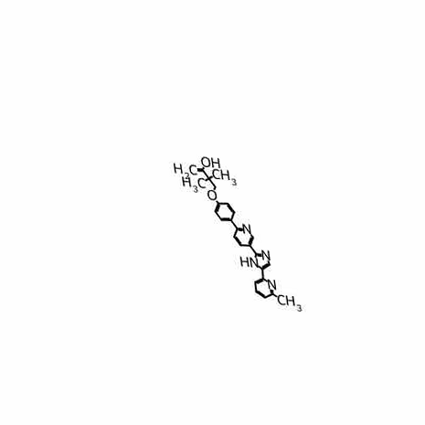 C=C(O)C(C)(C)COc1ccc(-c2ccc(-c3ncc(-c4cccc(C)n4)[nH]3)cn2)cc1